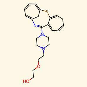 OCCOCCN1CCN(/C2=N/C3=CC=CC=C(C3)SC3=CCC=CC=C32)CC1